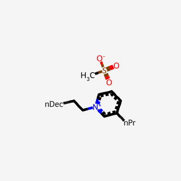 CCCCCCCCCCCC[n+]1cccc(CCC)c1.CS(=O)(=O)[O-]